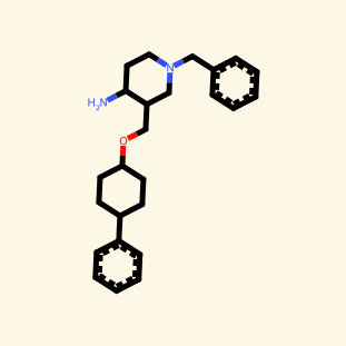 NC1CCN(Cc2ccccc2)CC1COC1CCC(c2ccccc2)CC1